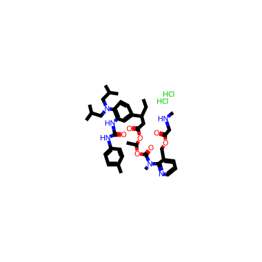 CCC(CC(=O)OC(C)OC(=O)N(C)c1ncccc1COC(=O)CNC)c1ccc(N(CC(C)C)CC(C)C)c(NC(=O)Nc2ccc(C)cc2)c1.Cl.Cl